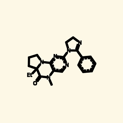 CCC12CCCN1c1nc(N3CCN=C3c3ccccc3)ncc1N(C)C2=O